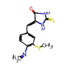 C=Nc1ccc(/C=C2\NC(=S)NC2=O)cc1SC